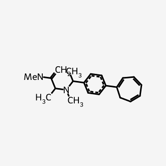 C=C(NC)C(C)N(C)C(C)c1ccc(C2=CC=CC=CC2)cc1